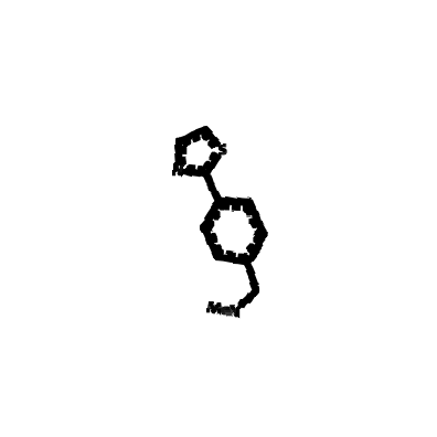 CNCc1ccc(-c2nccs2)cc1